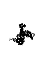 C=CC(=O)N1CC[C@@H]2[C@H]1CN2c1nc(OC[C@@H]2CCCN2C)nc2c(F)c(-c3cc(O)cc4cccc(Cl)c34)ncc12